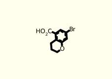 O=C(O)c1cc(Br)cc2c1CCCO2